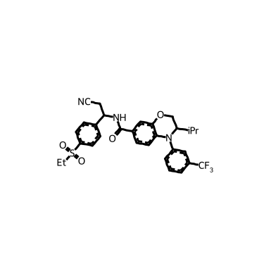 CCS(=O)(=O)c1ccc(C(CC#N)NC(=O)c2ccc3c(c2)OCC(C(C)C)N3c2cccc(C(F)(F)F)c2)cc1